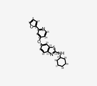 c1coc(-c2cc(Oc3ccc4nc(NC5CCCCC5)sc4c3)ccn2)c1